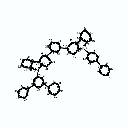 c1ccc(-c2ccc(-n3c4ccccc4c4cc(-c5cccc(-c6ccc7c(c6)c6ccccc6n7-c6cc(-c7ccccc7)cc(-c7ccccc7)c6)c5)ccc43)cc2)cc1